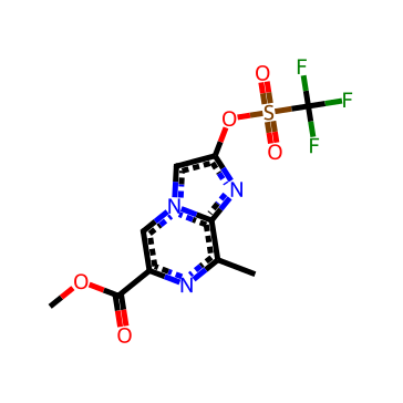 COC(=O)c1cn2cc(OS(=O)(=O)C(F)(F)F)nc2c(C)n1